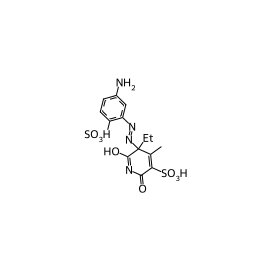 CCC1(N=Nc2cc(N)ccc2S(=O)(=O)O)C(O)=NC(=O)C(S(=O)(=O)O)=C1C